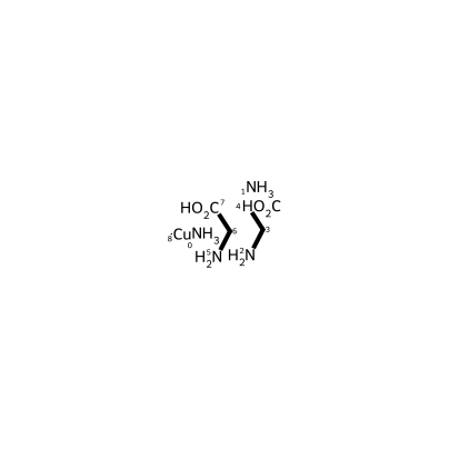 N.N.NCC(=O)O.NCC(=O)O.[Cu]